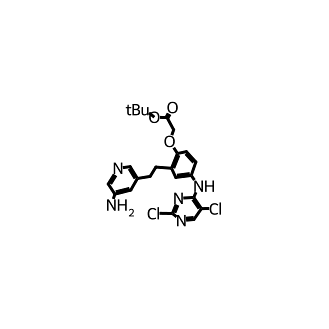 CC(C)(C)OC(=O)COc1ccc(Nc2nc(Cl)ncc2Cl)cc1CCc1cncc(N)c1